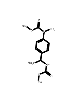 CN(C(=O)OC(C)(C)C)c1ccc(C(NC(=O)OC(C)(C)C)C(=O)O)cc1